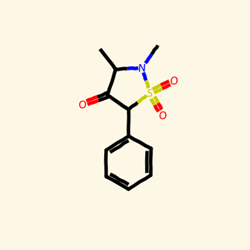 CC1C(=O)C(c2ccccc2)S(=O)(=O)N1C